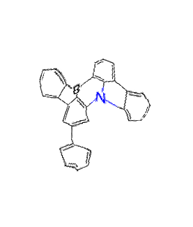 c1ccc(-c2cc3c4c(c2)-n2c5ccccc5c5cccc(c52)B4c2ccccc2-3)cc1